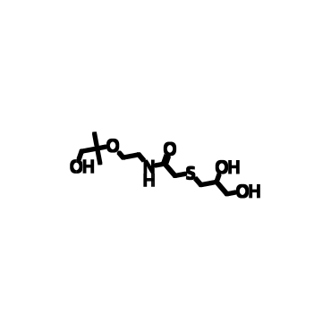 CC(C)(CO)OCCNC(=O)CSCC(O)CO